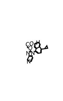 O=C(O)COc1nc2cnccc2n1-c1ccc(C2CC2)c2ccccc12